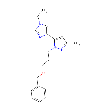 CCn1cnc(-c2cc(C)nn2CCCOCc2ccccc2)c1